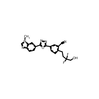 Cn1cnc2ccc(-c3nnc(-c4ccc(CCC(F)(F)CO)c(C#N)c4)o3)cc21